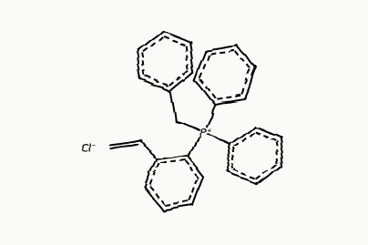 C=Cc1ccccc1[P+](Cc1ccccc1)(c1ccccc1)c1ccccc1.[Cl-]